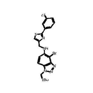 CC(C)(C)Cn1nnc2c(Br)c(NCc3csc(-c4cccc(Cl)c4)n3)ccc21